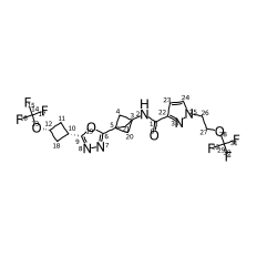 O=C(NC12CC(c3nnc([C@H]4C[C@@H](OC(F)(F)F)C4)o3)(C1)C2)c1ccn(CCOC(F)(F)F)n1